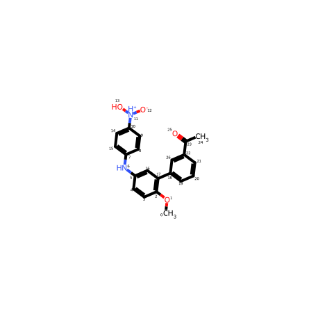 COc1ccc(Nc2ccc([NH+]([O-])O)cc2)cc1-c1cccc(C(C)=O)c1